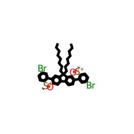 CCCCCCCCC1(CCCCCCCC)c2cc(-c3cc(Br)ccc3[S+](C)[O-])ccc2-c2ccc(-c3cc(Br)ccc3[S+](C)[O-])cc21